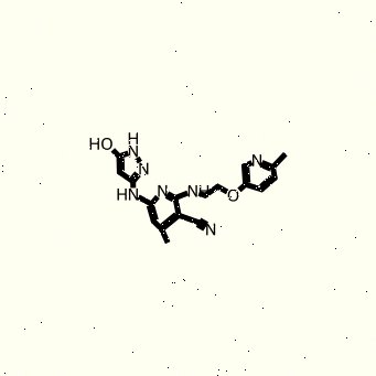 Cc1ccc(OCCNc2nc(Nc3cc(O)[nH]n3)cc(C)c2C#N)cn1